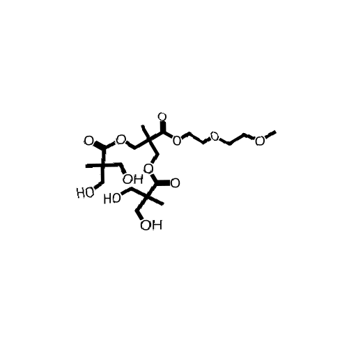 COCCOCCOC(=O)C(C)(COC(=O)C(C)(CO)CO)COC(=O)C(C)(CO)CO